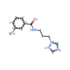 O=C(NCCCn1cncn1)c1cccc(Br)c1